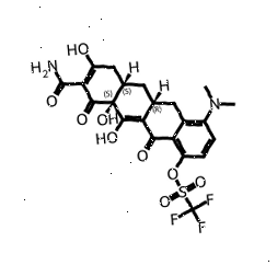 CN(C)c1ccc(OS(=O)(=O)C(F)(F)F)c2c1C[C@H]1C[C@H]3CC(O)=C(C(N)=O)C(=O)[C@@]3(O)C(O)=C1C2=O